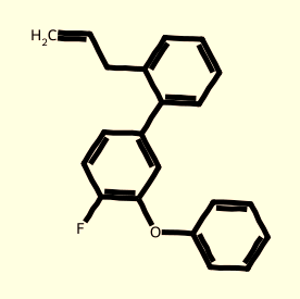 C=CCc1ccccc1-c1ccc(F)c(Oc2ccccc2)c1